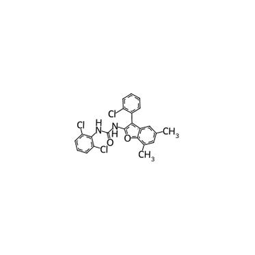 Cc1cc(C)c2oc(NC(=O)Nc3c(Cl)cccc3Cl)c(-c3ccccc3Cl)c2c1